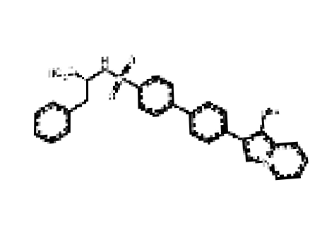 CCCCc1c(-c2ccc(-c3ccc(S(=O)(=O)N[C@@H](Cc4ccccc4)C(=O)O)cc3)cc2)cn2ccccc12